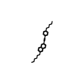 CCCCCCc1ccc2cc(C#Cc3ccc(CCCCC)cc3)ccc2c1